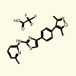 Cc1cccc(Nc2nc(-c3ccc(-c4c(C)noc4C)cc3)cs2)n1.O=C(O)C(F)(F)F